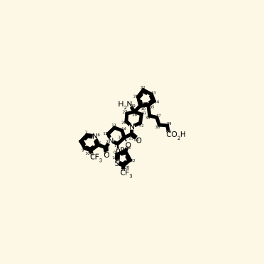 CCC[C@H]1N(C(=O)c2ncccc2C(F)(F)F)CCC[C@@]1(Oc1csc(C(F)(F)F)c1)C(=O)N1CCC(N)(c2ccccc2CCCCC(=O)O)CC1